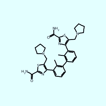 Cc1c(-c2cccc(-c3nc(C(N)=O)sc3CN3CCCC3)c2C)cccc1-c1nc(C(N)=O)sc1CN1CCCC1